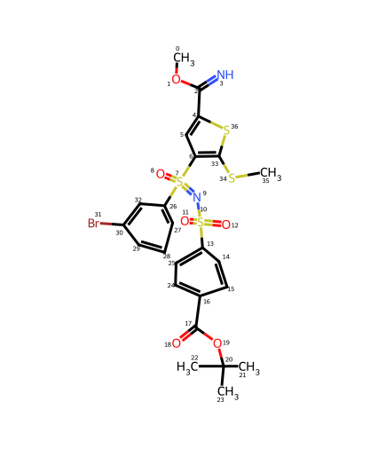 COC(=N)c1cc(S(=O)(=NS(=O)(=O)c2ccc(C(=O)OC(C)(C)C)cc2)c2cccc(Br)c2)c(SC)s1